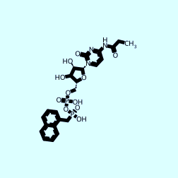 CCC(=O)Nc1ccn([C@@H]2O[C@H](COP(=O)(O)OP(=O)(O)Cc3cccc4ccccc34)C(O)[C@@H]2O)c(=O)n1